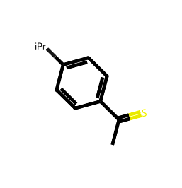 CC(=S)c1ccc(C(C)C)cc1